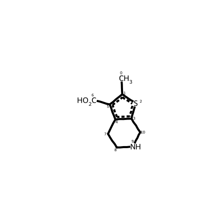 Cc1sc2c(c1C(=O)O)CCNC2